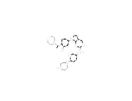 C[C@@H]1CN(c2ccc(Nc3ncc4ccn(-c5ccc(C(=O)N6CCOCC6)c(F)c5)c4n3)cn2)C[C@H](C)N1